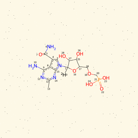 [2H]C1(n2cc(C(N)=O)c3c(N)nc(C)nc32)OC(COCP(=O)(O)O)C(O)C1O